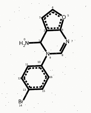 NC1c2ccoc2N=CN1c1ccc(Br)cc1